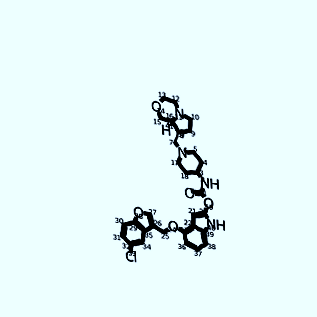 O=C(NC1CCN(C[C@@H]2CCN3CCOC[C@H]23)CC1)Oc1cc2c(OCc3coc4ccc(Cl)cc34)cccc2[nH]1